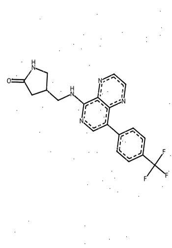 O=C1CC(CNc2ncc(-c3ccc(C(F)(F)F)cc3)c3nccnc23)CN1